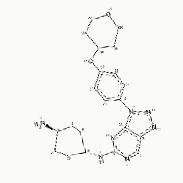 N[C@H]1CC[C@H](Nc2ncc3nnn(-c4ccc(OC5CCOCC5)cc4)c3n2)CC1